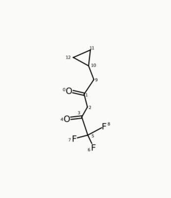 O=C(CC(=O)C(F)(F)F)CC1CC1